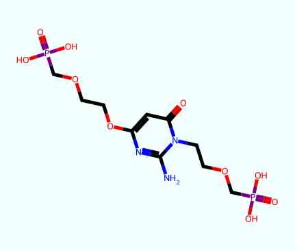 Nc1nc(OCCOCP(=O)(O)O)cc(=O)n1CCOCP(=O)(O)O